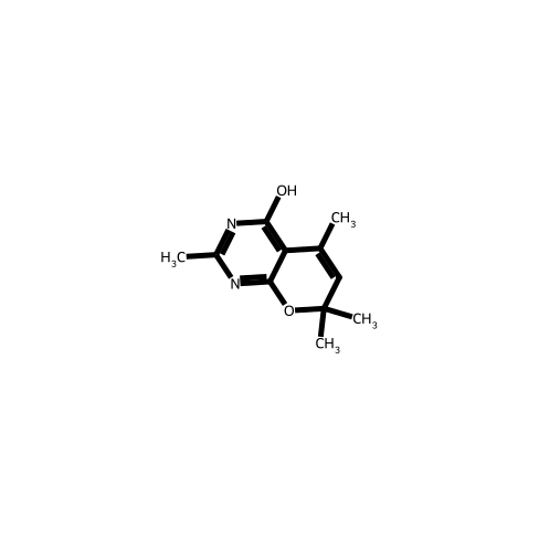 CC1=CC(C)(C)Oc2nc(C)nc(O)c21